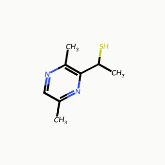 Cc1cnc(C)c(C(C)S)n1